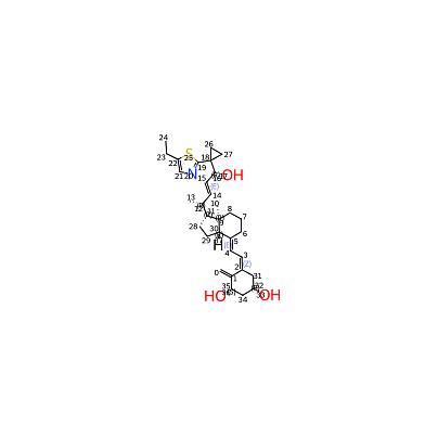 C=C1/C(=C\C=C2/CCC[C@]3(C)[C@@H]([C@H](C)/C=C/[C@@H](O)C4(c5ncc(CC)s5)CC4)CC[C@@H]23)C[C@@H](O)C[C@@H]1O